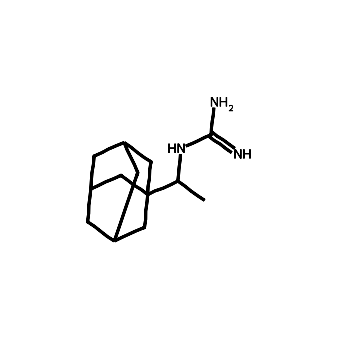 CC(NC(=N)N)C12CC3CC(CC(C3)C1)C2